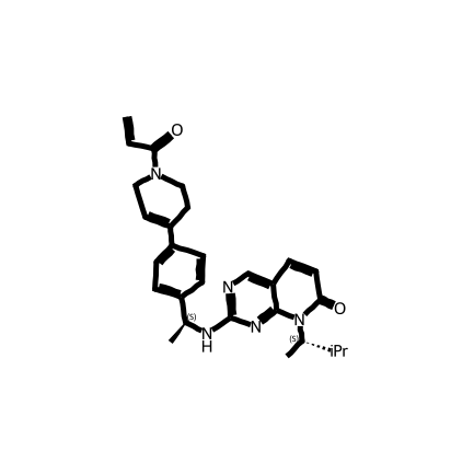 C=CC(=O)N1CC=C(c2ccc([C@H](C)Nc3ncc4ccc(=O)n([C@@H](C)C(C)C)c4n3)cc2)CC1